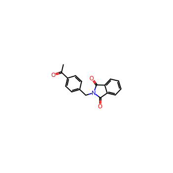 CC(=O)c1ccc(CN2C(=O)c3ccccc3C2=O)cc1